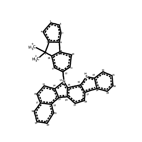 CC1(C)c2ccccc2-c2ccc(-n3c4ccc5ccccc5c4c4ccc5c6ccccc6sc5c43)cc21